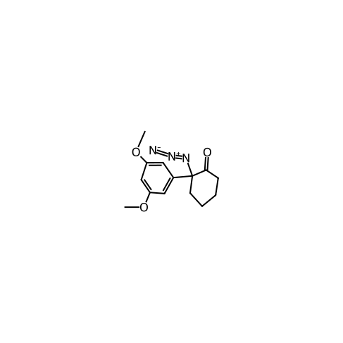 COc1cc(OC)cc(C2(N=[N+]=[N-])CCCCC2=O)c1